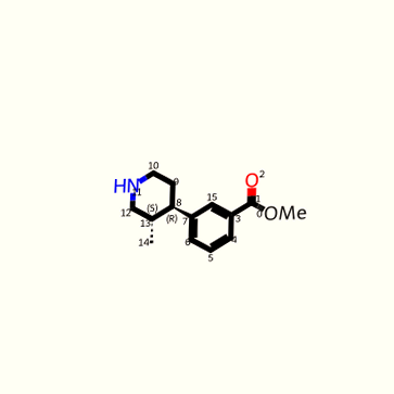 COC(=O)c1cccc([C@@H]2CCNC[C@H]2C)c1